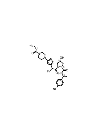 CC(C)C(C(=O)N1C[C@H](O)C[C@H]1C(=O)N[C@@H](C)c1ccc(C#N)cc1)c1cc(N2CCN(C(=O)OC(C)(C)C)CC2)no1